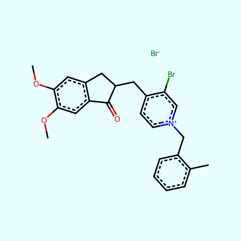 COc1cc2c(cc1OC)C(=O)C(Cc1cc[n+](Cc3ccccc3C)cc1Br)C2.[Br-]